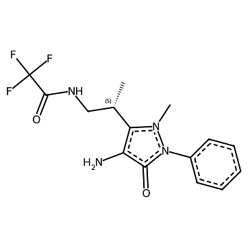 C[C@@H](CNC(=O)C(F)(F)F)c1c(N)c(=O)n(-c2ccccc2)n1C